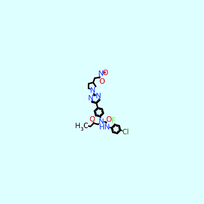 CCC1CN(C(=O)Nc2ccc(Cl)cc2F)c2ccc(-c3cnc(N4CCC(CC(=O)N=O)C4)nc3)cc2O1